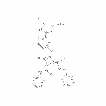 CC(C)(C)OC(=O)N(C(=O)OC(C)(C)C)c1cc(CC2C(=O)N(C(=O)Nc3ccccc3)[C@@H]2C(=O)OCc2ccccc2)ccn1